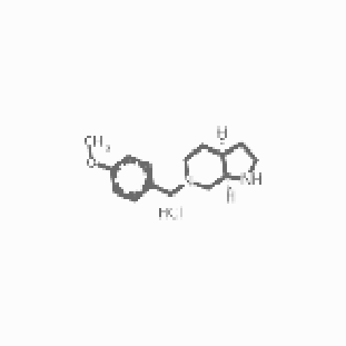 COc1ccc(CN2CC[C@H]3CCN[C@H]3C2)cc1.Cl